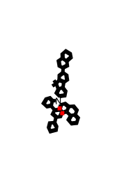 CC1(C)c2cc(-c3ccc4ccccc4c3)ccc2-c2ccc(N(c3ccc4c(ccc5ccccc54)c3)c3ccccc3-c3cccc(-c4ccccc4)c3)cc21